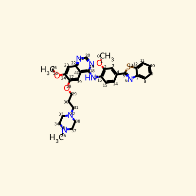 COc1cc(-c2nc3ccccc3s2)ccc1Nc1ncnc2cc(OC)c(OCCCN3CCN(C)CC3)cc12